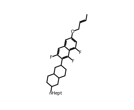 C/C=C/COc1cc(F)c2c(F)c(C3CCC4CC(CCCCCCC)CCC4C3)c(F)cc2c1